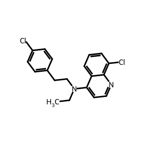 CCN(CCc1ccc(Cl)cc1)c1ccnc2c(Cl)cccc12